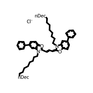 CCCCCCCCCCCCCCCCCCN1C(=CC=Cc2oc3ccc(-c4ccccc4)cc3[n+]2CCCCCCCCCCCCCCCCCC)Oc2ccc(-c3ccccc3)cc21.[Cl-]